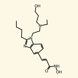 CCCCc1nc2cc(/C=C/C(=O)NO)ccc2n1CCN(CC)CCCO